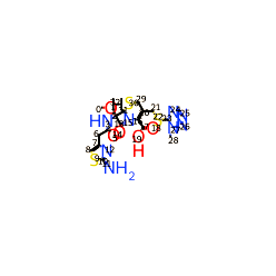 CO[C@@]1(NC(=O)Cc2csc(N)n2)C(=O)N2C(C(=O)O)=C(CSc3nnnn3C)CS[C@H]21